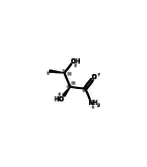 C[C@@H](O)[C@H](O)C(N)=O